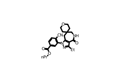 CCCOC(=O)c1ccc(C#N)c(-n2nc(CC)c3c2CC2(CCOCC2)CNC3=O)c1